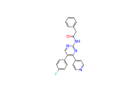 O=C(Cc1ccccc1)Nc1ncc(-c2ccc(F)cc2)c(-c2ccncc2)n1